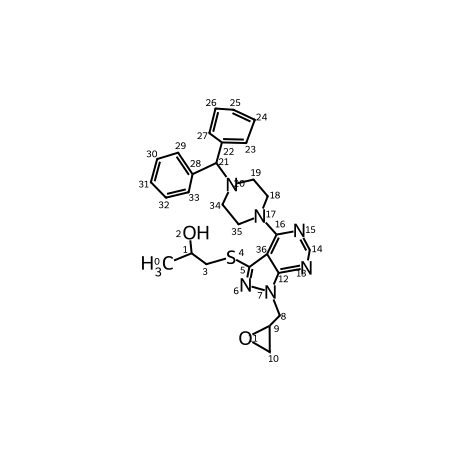 CC(O)CSc1nn(CC2CO2)c2ncnc(N3CCN(C(c4ccccc4)c4ccccc4)CC3)c12